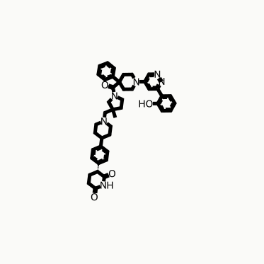 CC1(CN2CCC(c3ccc([C@H]4CCC(=O)NC4=O)cc3)CC2)CCN(C(=O)C2(c3ccccc3)CCN(c3cnnc(-c4ccccc4O)c3)CC2)C1